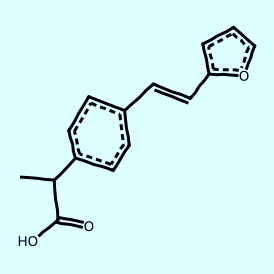 CC(C(=O)O)c1ccc(/C=C/c2ccco2)cc1